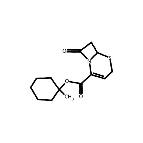 CC1(OC(=O)C2=CCSC3CC(=O)N23)CCCCC1